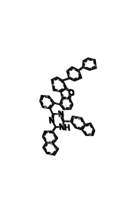 c1ccc(-c2ccc(-c3cccc4c3oc3cccc(-c5ccccc5C5=NC(c6ccc7ccccc7c6)NC(c6ccc7ccccc7c6)=N5)c34)cc2)cc1